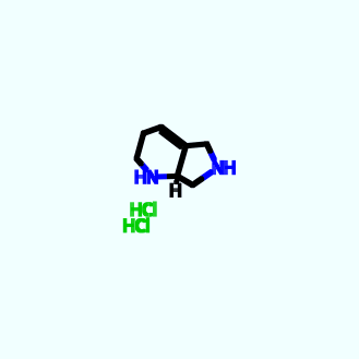 C1=C2CNC[C@H]2NCC1.Cl.Cl